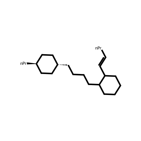 CCCC=CC1CCCCC1CCCC[C@H]1CC[C@H](CCC)CC1